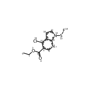 CCOC(=O)c1cnc2c(ccn2SF)c1Cl